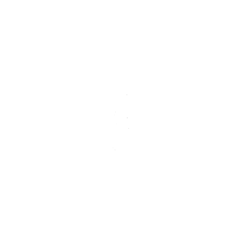 CCCS(=O)(=O)c1cccc(S(=O)(=O)n2ccc3c(N4CCNCC4)cccc32)c1